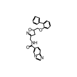 O=C(NCC1=NOC(COc2ccccc2-c2ccccc2)C1)c1ccc2nccn2c1